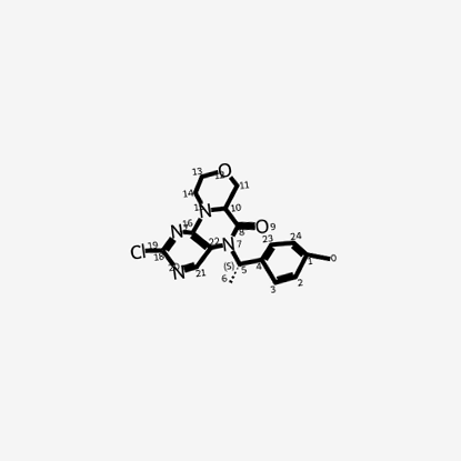 Cc1ccc([C@H](C)N2C(=O)C3COCCN3c3nc(Cl)ncc32)cc1